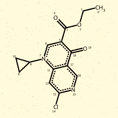 CCOC(=O)c1cn(C2CC2)c2cc(Cl)ncc2c1=O